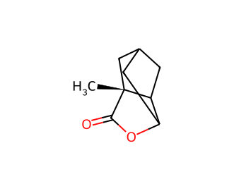 C[C@]12CC3CC(OC1=O)C2C3